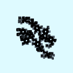 COc1cc(-n2c(C(C)(C)c3ccc(Cl)c(Cl)c3)cnc2SCc2c(F)cc(S(=O)(=O)NCCC[N+](C)(C)C)cc2F)ccc1F.COc1cc(C(C)(C)c2cnc(SCc3c(F)cc(S(=O)(=O)NCCC[N+](C)(C)C)cc3F)n2-c2ccc(F)cc2)ccc1F